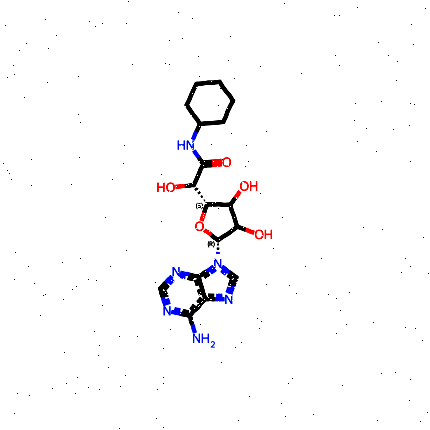 Nc1ncnc2c1ncn2[C@@H]1O[C@H](C(O)C(=O)NC2CCCCC2)C(O)C1O